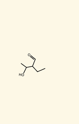 CCC(C=O)C(C)O